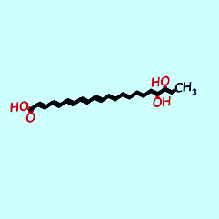 CCC(O)C(O)CCCCCCCC=CC=CC=CC=CC=CC(=O)O